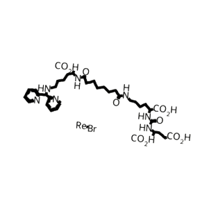 O=C(O)CCC(NC(=O)NC(CCCCNC(=O)CCCCCCC(=O)NC(CCCCNC(c1ccccn1)c1ccccn1)C(=O)O)C(=O)O)C(=O)O.[Br][Re]